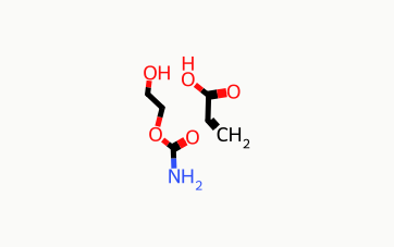 C=CC(=O)O.NC(=O)OCCO